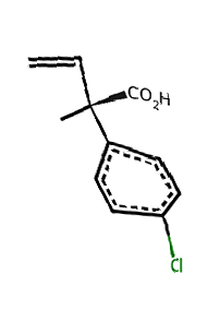 C=C[C@](C)(C(=O)O)c1ccc(Cl)cc1